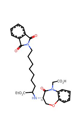 CCOC(=O)C(CCCCCCCN1C(=O)c2ccccc2C1=O)N[C@H]1COc2ccccc2N(CC(=O)O)C1=O